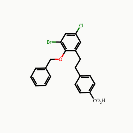 O=C(O)c1ccc(CCc2cc(Cl)cc(Br)c2OCc2ccccc2)cc1